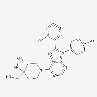 CNC1(CO)CCN(c2ncnc3c2nc(-c2ccccc2Cl)n3-c2ccc(Cl)cc2)CC1